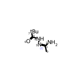 C/C(N)=N/NC(=O)C(C)(C)C